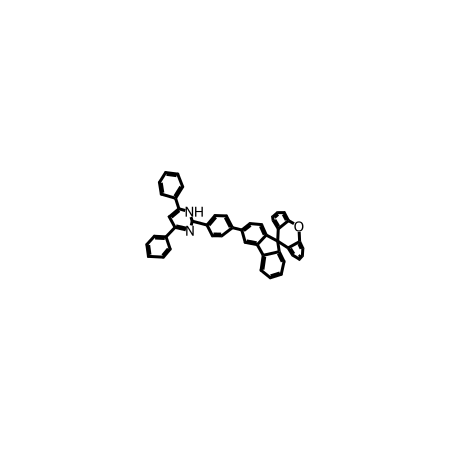 C1=C(c2ccccc2)NC(c2ccc(-c3ccc4c(c3)-c3ccccc3C43c4ccccc4Oc4ccccc43)cc2)N=C1c1ccccc1